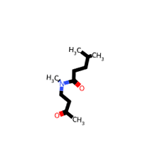 CC(=O)CCN(C)C(=O)CCC(C)C